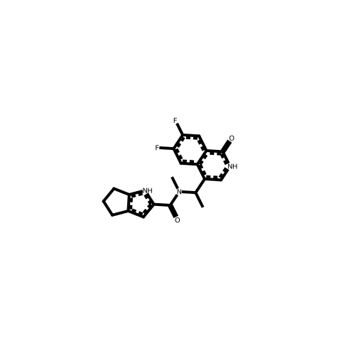 CC(c1c[nH]c(=O)c2cc(F)c(F)cc12)N(C)C(=O)c1cc2c([nH]1)CCC2